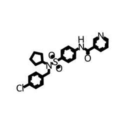 O=C(Nc1ccc(S(=O)(=O)N(Cc2ccc(Cl)cc2)C2CCCC2)cc1)c1cccnc1